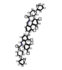 O=C(/C=C/c1ccc(Sc2ccc(/C=C/C(=O)N3CCN(c4ccccn4)CC3)c(-c3ccc(Cl)cc3Cl)c2Cl)c(Cl)c1-c1ccc(Cl)cc1Cl)N1CCN(c2ccccn2)CC1